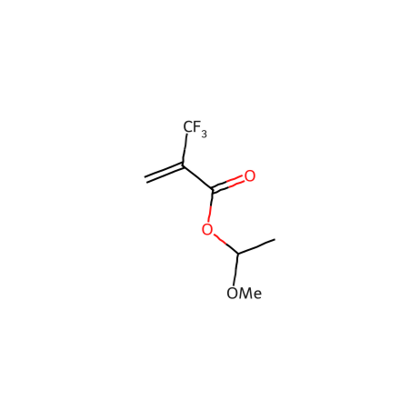 C=C(C(=O)OC(C)OC)C(F)(F)F